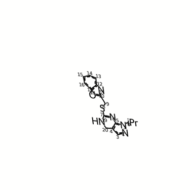 CC(C)n1ncc2c1N=C(SCc1nc3ccccc3o1)NC2